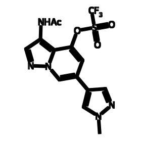 CC(=O)Nc1cnn2cc(-c3cnn(C)c3)cc(OS(=O)(=O)C(F)(F)F)c12